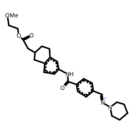 COCCOC(=O)CC1CCc2cc(NC(=O)c3ccc(/C=N/N4CCCCC4)cc3)ccc2C1